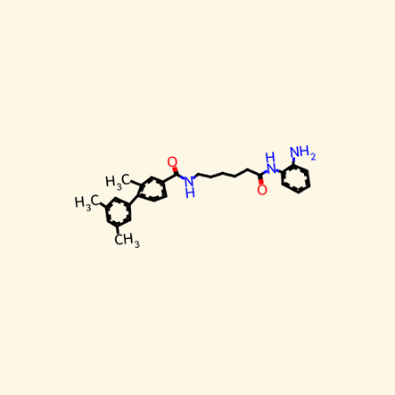 Cc1cc(C)cc(-c2ccc(C(=O)NCCCCCC(=O)Nc3ccccc3N)cc2C)c1